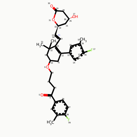 Cc1cc(C(=O)CCCOC2CC(c3ccc(F)c(C)c3)=C(/C=C/[C@@H]3C[C@@H](O)CC(=O)O3)C(C)(C)C2)ccc1F